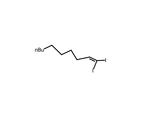 CCCCCCCCC=C(I)I